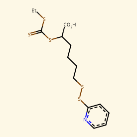 CCSC(=S)SC(CCCCSSc1ccccn1)C(=O)O